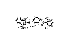 CNS(=O)(=O)c1ccccc1C(=O)N[C@@H](Cc1ccc(NC(=O)c2c(Cl)cccc2Cl)cc1)C(=O)O